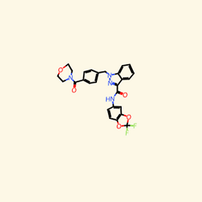 O=C(Nc1ccc2c(c1)OC(F)(F)O2)c1nn(Cc2ccc(C(=O)N3CCOCC3)cc2)c2ccccc12